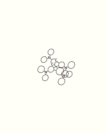 C1CCCCC(N(C2CCCCCCC2)C2CCCCC3C(CCC2)C2CCC(N(C4CCCCCCCC4)C4CCCCCCC4)CCCC2C32C3CCCC(N(C4CCCCCCC4)C4CCCCCCC4)CCCC(C3)C3CCCC(N(C4CCCCCCCC4)C4CCCCCCCC4)CCC32)CCC1